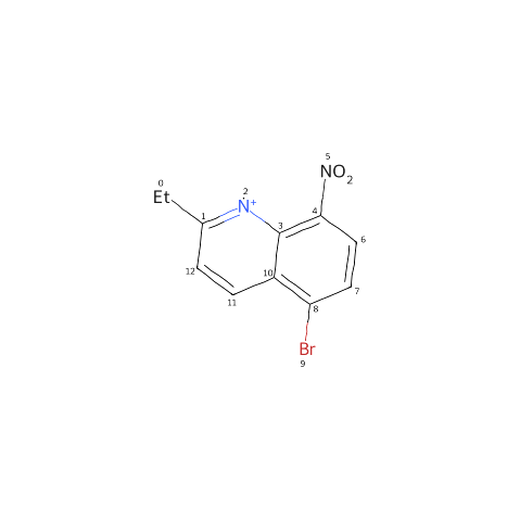 CCC1=[N+]c2c([N+](=O)[O-])ccc(Br)c2C=C1